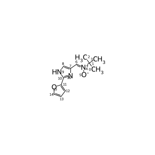 CC(C)(C)[N+]([O-])=Cc1c[nH]c(-c2ccco2)n1